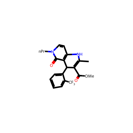 CCCn1ccc2c(c1=O)C(c1ccccc1C(F)(F)F)C(C(=O)OC)=C(C)N2